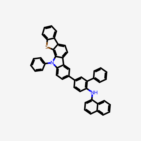 c1ccc(-c2cc(-c3ccc4c(c3)c3ccc5c6ccccc6sc5c3n4-c3ccccc3)ccc2Nc2cccc3ccccc23)cc1